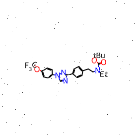 CCN(CCc1ccc(-c2ncn(-c3ccc(OC(F)(F)F)cc3)n2)cc1)C(=O)OC(C)(C)C